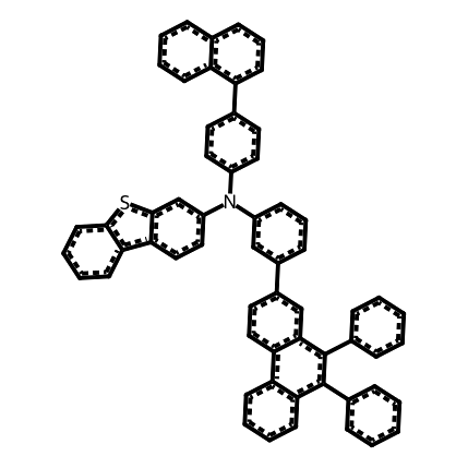 c1ccc(-c2c(-c3ccccc3)c3cc(-c4cccc(N(c5ccc(-c6cccc7ccccc67)cc5)c5ccc6c(c5)sc5ccccc56)c4)ccc3c3ccccc23)cc1